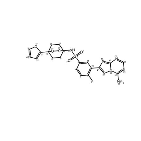 Cc1ccc(S(=O)(=O)NC23CCC(c4cnco4)(CC2)OC3)cc1-c1cn2c(N)ncnc2n1